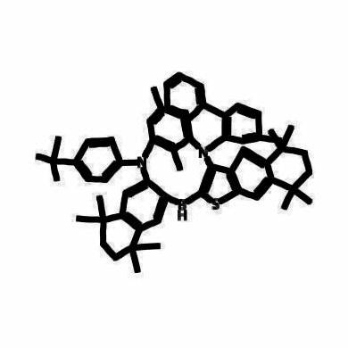 Cc1ccc(-c2ccccc2)c(N2c3cc(C)cc(c3C)N(c3ccc(C(C)(C)C)cc3)c3cc4c(cc3Bc3sc5cc6c(cc5c32)C(C)(C)CCC6(C)C)C(C)(C)CCC4(C)C)c1